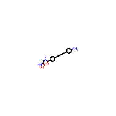 C[C@H](NC(=O)c1ccc(C#CC#Cc2ccc(N)cc2)cc1)C(=O)NO